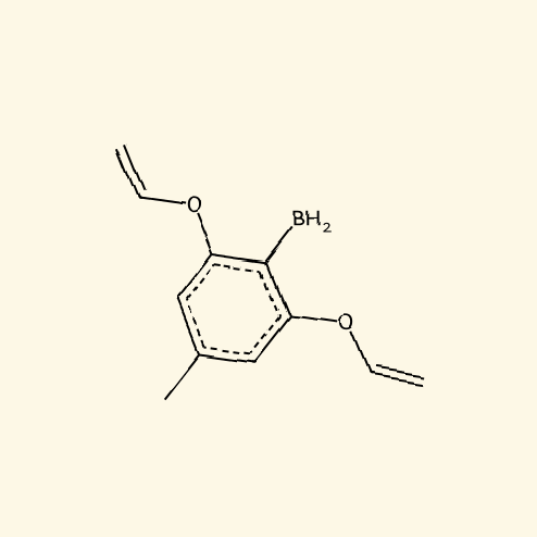 Bc1c(OC=C)cc(C)cc1OC=C